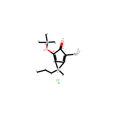 CCC[Si]1(C)C2=[C]([Ti+2])C(=O)C(O[Si](C)(C)C)=C21.[Cl-].[Cl-]